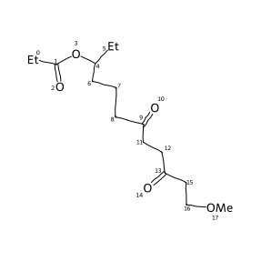 CCC(=O)OC(CC)CCCC(=O)CCC(=O)CCOC